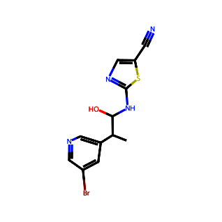 CC(c1cncc(Br)c1)C(O)Nc1ncc(C#N)s1